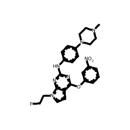 CN1CCN(c2ccc(Nc3nc(Oc4cccc([N+](=O)[O-])c4)c4ccn(CCF)c4n3)cc2)CC1